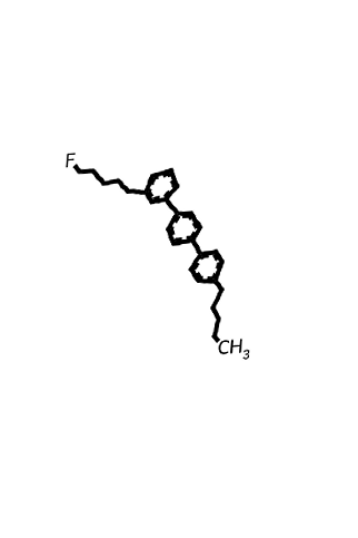 CCCCCc1ccc(-c2ccc(-c3cccc(CCCCCF)c3)cc2)cc1